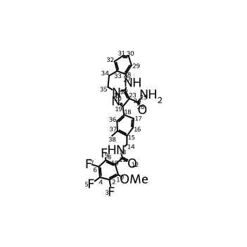 COc1c(F)c(F)c(F)c(F)c1C(=O)NCc1ccc(-c2nn3c(c2C(N)=O)Nc2ccccc2CC3)cc1C